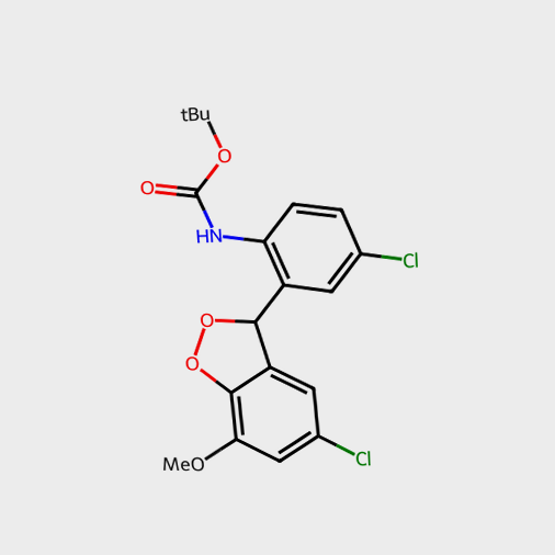 COc1cc(Cl)cc2c1OOC2c1cc(Cl)ccc1NC(=O)OC(C)(C)C